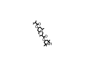 CC(I)C(=O)OC1CC(C)N(CC(I)C(=O)OC2CC(C)(C)NC(C)(C)C2)C(C)C1